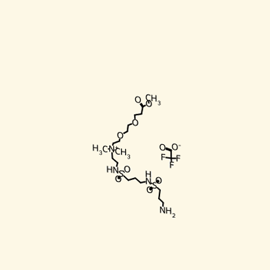 COC(=O)CCOCCOCC[N+](C)(C)CCNS(=O)(=O)CCCNS(=O)(=O)CCCN.O=C([O-])C(F)(F)F